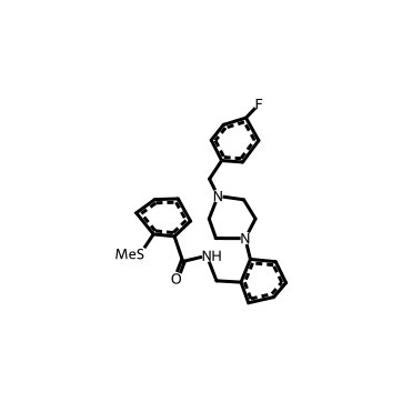 CSc1ccccc1C(=O)NCc1ccccc1N1CCN(Cc2ccc(F)cc2)CC1